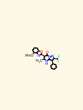 COc1cccc2oc(-c3c(C)[nH]c4c(-c5ccccc5)c(C(F)F)nn4c3=O)nc12